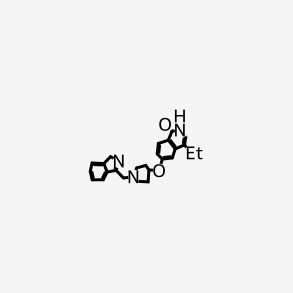 CCc1c[nH]c(=O)c2ccc(OC3CCN(CC4=NCc5ccccc54)CC3)cc12